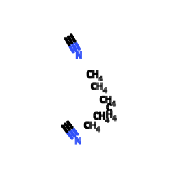 C.C.C.C.C.C.C#N.C#N